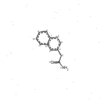 NC(=O)Cc1cnc2ccccc2c1